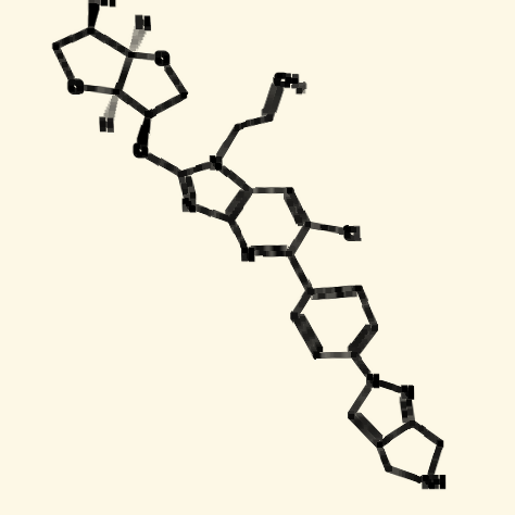 C=CCn1c(O[C@@H]2CO[C@H]3[C@@H]2OC[C@H]3O)nc2nc(-c3ccc(-n4cc5c(n4)CNC5)cc3)c(Cl)cc21